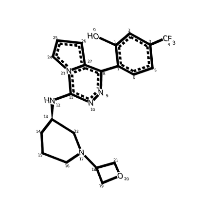 Oc1cc(C(F)(F)F)ccc1-c1nnc(N[C@@H]2CCCN(C3COC3)C2)n2cccc12